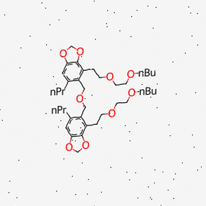 CCCCOCCOCCc1c(COCc2c(CCC)cc3c(c2CCOCCOCCCC)OCO3)c(CCC)cc2c1OCO2